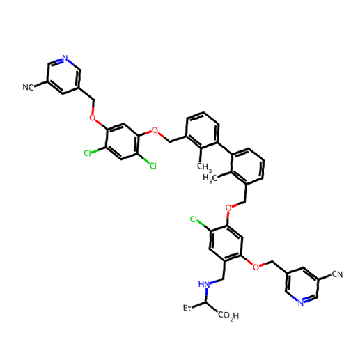 CCC(NCc1cc(Cl)c(OCc2cccc(-c3cccc(COc4cc(OCc5cncc(C#N)c5)c(Cl)cc4Cl)c3C)c2C)cc1OCc1cncc(C#N)c1)C(=O)O